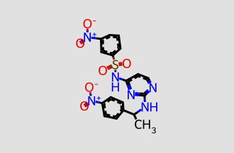 CC(Nc1nccc(NS(=O)(=O)c2cccc([N+](=O)[O-])c2)n1)c1ccc([N+](=O)[O-])cc1